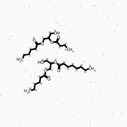 CCCCCC(=O)OCC(CO)OC(=O)CCC.CCCCCCCC(=O)OC(CO)COC(=O)CCCCC